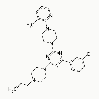 C=CCN1CCN(c2nc(-c3cccc(Cl)c3)nc(N3CCN(c4ncccc4C(F)(F)F)CC3)n2)CC1